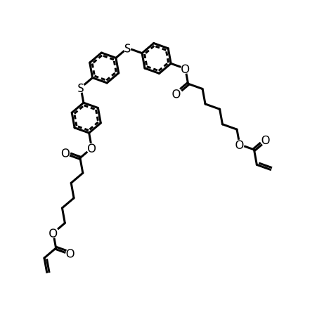 C=CC(=O)OCCCCCC(=O)Oc1ccc(Sc2ccc(Sc3ccc(OC(=O)CCCCCOC(=O)C=C)cc3)cc2)cc1